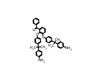 CC(C)(c1ccc(N)cc1)c1ccc(Oc2cccc(C(=O)c3ccccc3)c2Oc2ccc(C(C)(C)c3ccc(N)cc3)cc2)cc1